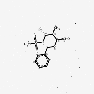 CC[C@@H](OS(C)(=O)=O)[C@@H](C)[C@@H](C=O)OCc1ccccc1